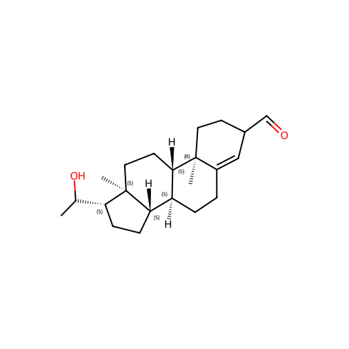 CC(O)[C@H]1CC[C@H]2[C@@H]3CCC4=CC(C=O)CC[C@]4(C)[C@H]3CC[C@]12C